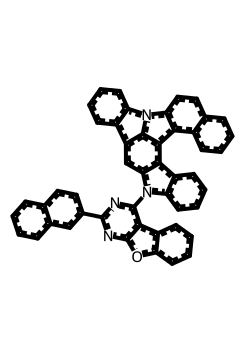 c1ccc2cc(-c3nc(-n4c5ccccc5c5c6c7c8ccccc8ccc7n7c8ccccc8c(cc54)c67)c4c(n3)oc3ccccc34)ccc2c1